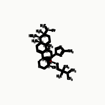 CC(C)[C@@H](C)[C@@]1(C)CC[C@]2(C)[C@H]3CC[C@@H]4[C@@]5(COC[C@]4(C)[C@@H](OCC(C)(C)N(C)C)[C@H](n4cnc(N)n4)C5)C3=CC[C@@]2(C)[C@@H]1C(=O)O